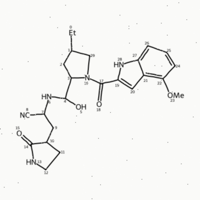 CCC1CC(C(O)NC(C#N)CC2CCNC2=O)N(C(=O)c2cc3c(OC)cccc3[nH]2)C1